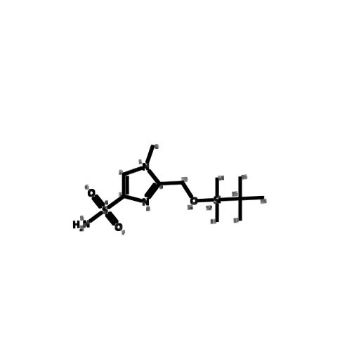 Cn1cc(S(N)(=O)=O)nc1CO[Si](C)(C)C(C)(C)C